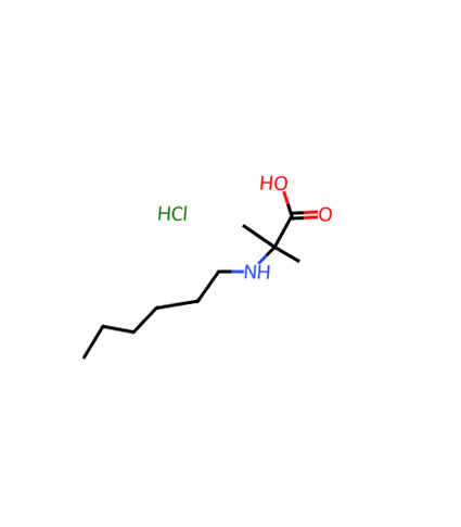 CCCCCCNC(C)(C)C(=O)O.Cl